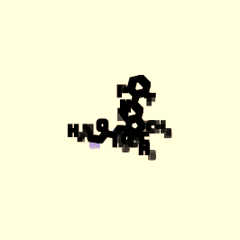 C[C@H]1c2cc(-c3c(F)cccc3F)nnc2[C@](C)(/C=C/C(=O)/C=C\N)C1(C)C